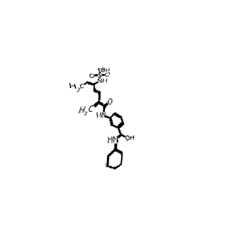 C=C(CC/C(=C\C)NS(=O)(=O)C(C)(C)C)C(=O)Nc1cccc(C(O)NC2CCCCC2)c1